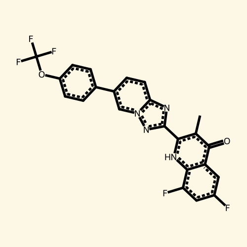 Cc1c(-c2nc3ccc(-c4ccc(OC(F)(F)F)cc4)cn3n2)[nH]c2c(F)cc(F)cc2c1=O